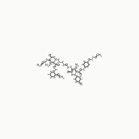 COCCOc1ccc(COC(=O)C2=C(C)N(CCOCCCCC3CC(=O)N(CCOC)C(C)=C3C(=O)OCc3ccccc3OC)C(=O)CC2c2ccc(Cl)cc2)cc1